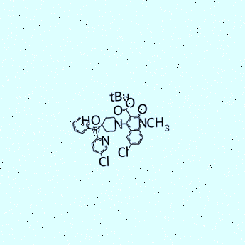 Cn1c(=O)c(C(=O)OC(C)(C)C)c(N2CCC(O)([C@H](c3ccccc3)c3ccc(Cl)cn3)CC2)c2cc(Cl)ccc21